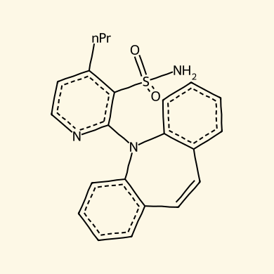 CCCc1ccnc(N2c3ccccc3C=Cc3ccccc32)c1S(N)(=O)=O